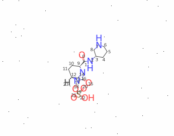 O=C(NC1CCCNC1)[C@@H]1CC[C@@H]2CN1C(=O)N2OS(=O)(=O)O